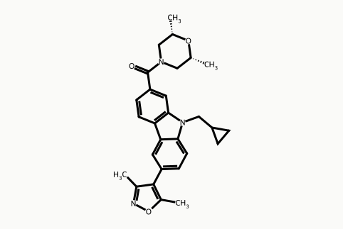 Cc1noc(C)c1-c1ccc2c(c1)c1ccc(C(=O)N3C[C@@H](C)O[C@@H](C)C3)cc1n2CC1CC1